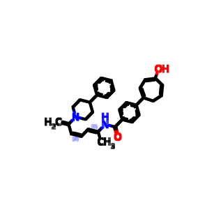 C=C(/C=C\C=C(/C)NC(=O)c1ccc(C2=CC=C(O)C=CC2)cc1)N1CCC(c2ccccc2)CC1